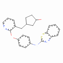 OC1CCC(Cc2cccnc2Oc2ccc(Nc3nc4ccccc4s3)cc2)C1